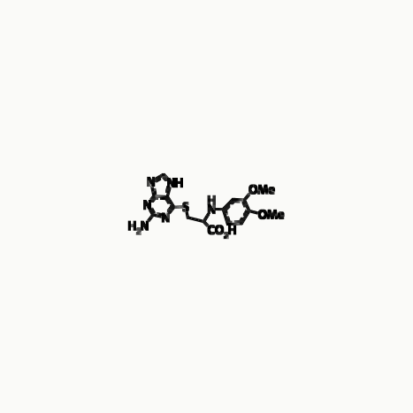 COc1ccc(NC(CSc2nc(N)nc3nc[nH]c23)C(=O)O)cc1OC